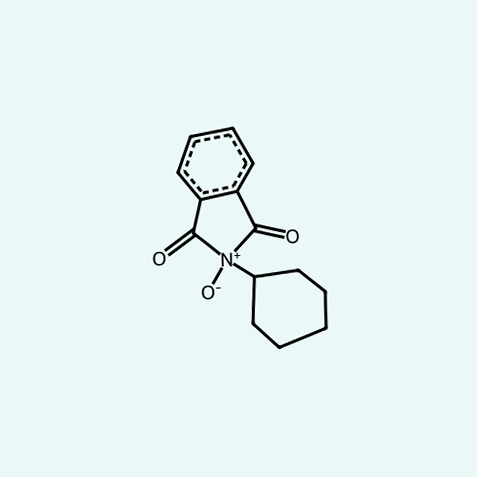 O=C1c2ccccc2C(=O)[N+]1([O-])C1CCCCC1